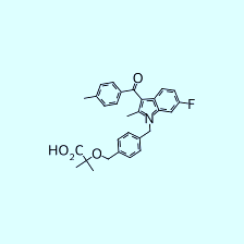 Cc1ccc(C(=O)c2c(C)n(Cc3ccc(COC(C)(C)C(=O)O)cc3)c3cc(F)ccc23)cc1